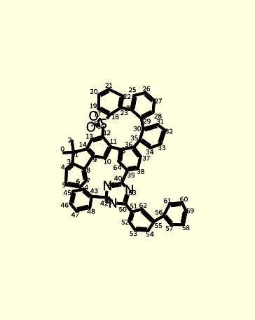 CC1(C)c2ccccc2-c2cc3c(cc21)S(=O)(=O)c1ccccc1-c1ccccc1-c1ccccc1-c1ccc(-c2nc(-c4ccccc4)nc(-c4cccc(-c5ccccc5)c4)n2)cc1-3